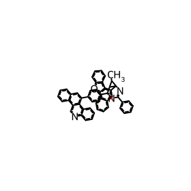 CC1C2C(c3ccc(-c4cc5ccccc5c5cnc6ccccc6c45)cc3)=NC(c3ccccc3)=NC12c1cc2ccccc2c2oc3ccccc3c12